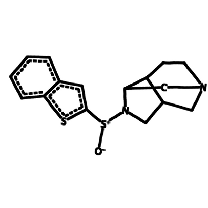 [O-][S+](c1cc2ccccc2s1)N1CC2CN3CCC2C1C3